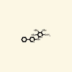 CCCCc1[c]([SnH3])nc(Nc2ccc(-c3ccccc3)cn2)c(CCCC)c1CCCC